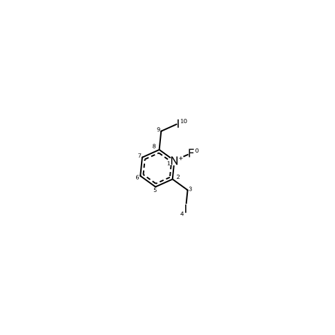 F[n+]1c(CI)cccc1CI